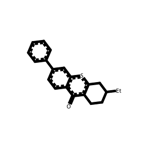 CCC1CCc2c(sc3cc(-c4ccccc4)ccc3c2=O)C1